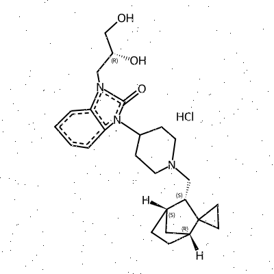 Cl.O=c1n(C[C@@H](O)CO)c2ccccc2n1C1CCN(C[C@H]2[C@H]3CC[C@H](C3)C23CC3)CC1